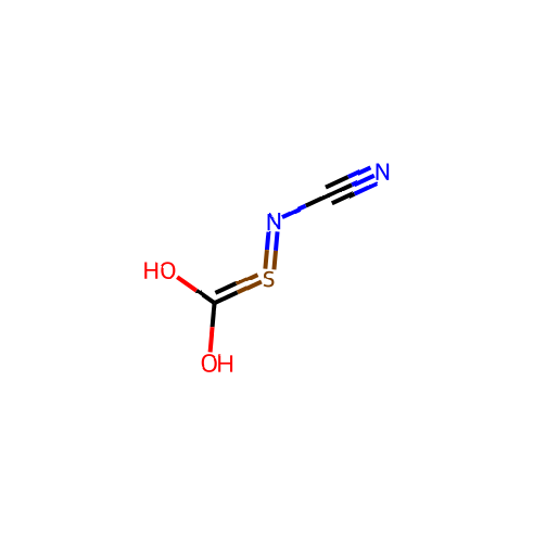 N#CN=S=C(O)O